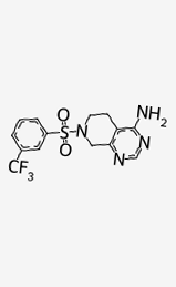 Nc1ncnc2c1CCN(S(=O)(=O)c1cccc(C(F)(F)F)c1)C2